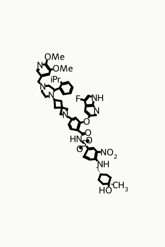 COc1cc(CN2CCN(C3CC4(C3)CN(c3ccc(C(=O)NS(=O)(=O)c5ccc(NC[C@H]6CC[C@](C)(O)CC6)c([N+](=O)[O-])c5)c(Oc5cnc6[nH]cc(F)c6c5)c3)C4)C(c3ccccc3C(C)C)C2)cnc1OC